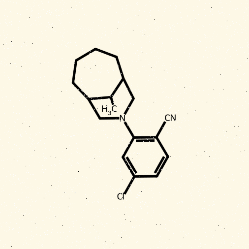 CC1C2CCCCC1CN(c1cc(Cl)ccc1C#N)C2